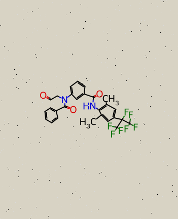 Cc1cc(C(F)(C(F)(F)F)C(F)(F)F)cc(C)c1NC(=O)c1cccc(N(CC=O)C(=O)c2ccccc2)c1